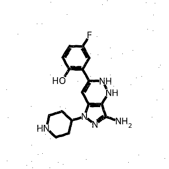 Nc1nn(C2CCNCC2)c2c1NNC(c1cc(F)ccc1O)=C2